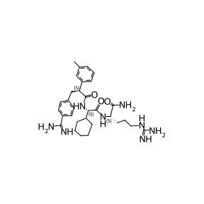 Cc1cccc([C@H](Cc2ccc(C(=N)N)cc2)C(=O)N[C@H](C(=O)N[C@@H](CCCNC(=N)N)C(N)=O)C2CCCCC2)c1